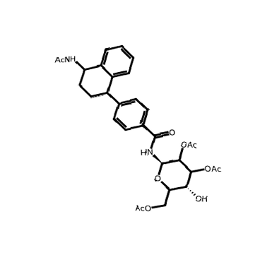 CC(=O)NC1CCC(c2ccc(C(=O)N[C@@H]3OC(COC(C)=O)[C@@H](O)C(OC(C)=O)C3OC(C)=O)cc2)c2ccccc21